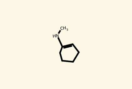 CNC1=CCCCC1